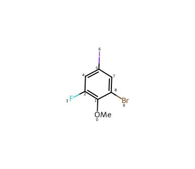 COc1c(F)cc(I)cc1Br